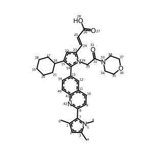 Cc1cc(C)n(C)c1-c1ccc2cc(-c3c(C4CCCCC4)cc(C=CC(=O)O)n3CC(=O)N3CCOCC3)ccc2n1